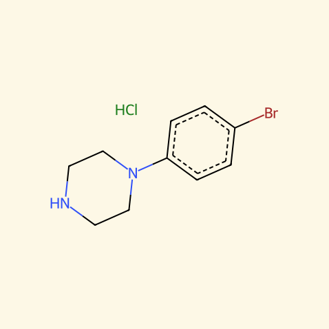 Brc1ccc(N2CCNCC2)cc1.Cl